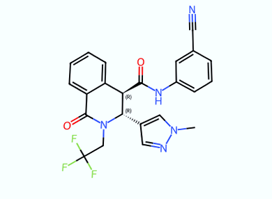 Cn1cc([C@H]2[C@H](C(=O)Nc3cccc(C#N)c3)c3ccccc3C(=O)N2CC(F)(F)F)cn1